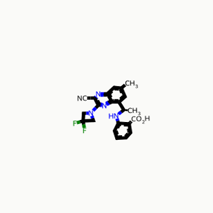 Cc1cc([C@@H](C)Nc2ccccc2C(=O)O)c2nc(N3CC(F)(F)C3)c(C#N)nc2c1